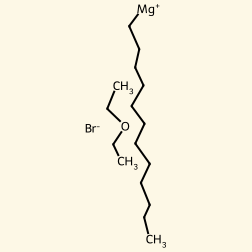 CCCCCCCCCCC[CH2][Mg+].CCOCC.[Br-]